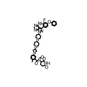 Cc1ccc(N2CC(N3CCC(N4CCC(n5nc(-c6ccc(Oc7ccccc7)c(F)c6)c6c(N)ncnc65)CC4)CC3)C2)cc1C(=O)N(C=O)C1CCC(=O)NC1=O